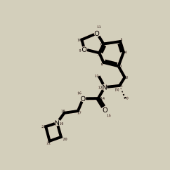 C[C@@H](Cc1ccc2c(c1)OCO2)N(C)C(=O)OCCN1CCC1